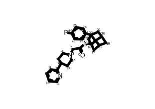 O=C(CN1CCC(c2ccccn2)CC1)NC12CC3CC4CC(c5ccc(F)cc5)(C1)C342